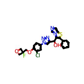 OC(c1cn(-c2ccc(OCC3(F)COC3)c(Cl)c2)nn1)c1c(-c2ccccc2)sc2cncn12